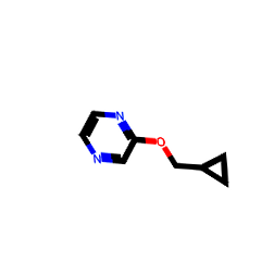 [c]1cnc(OCC2CC2)cn1